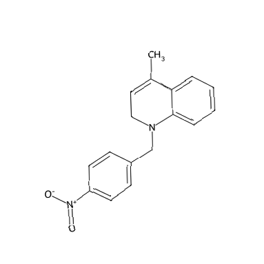 CC1=CCN(Cc2ccc([N+](=O)[O-])cc2)c2ccccc21